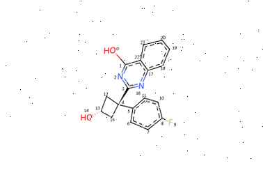 Oc1nc([C@]2(c3ccc(F)cc3)C[C@@H](O)C2)nc2ccccc12